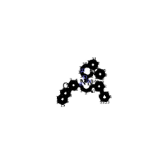 C[C@H]1CC\C(c2ccc3oc4cc5ccccc5cc4c3c2)=N/C(C2=C/C=C\Cc3ccccc3N(c3ccccc3)C\2)=N\C1c1cccc(C2=CCCC=C2)c1